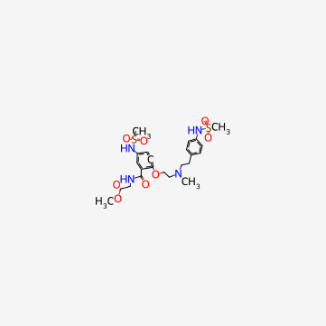 COC(=O)CNC(=O)c1cc(NS(C)(=O)=O)ccc1OCCN(C)CCc1ccc(NS(C)(=O)=O)cc1